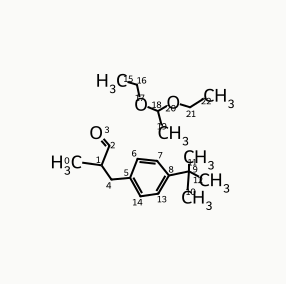 CC(C=O)Cc1ccc(C(C)(C)C)cc1.CCOC(C)OCC